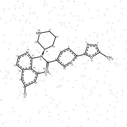 Cc1nnc(-c2ccc(C(=O)N(c3nccc4cc(Cl)cc(C)c34)[C@@H]3CCCNC3)cc2)o1